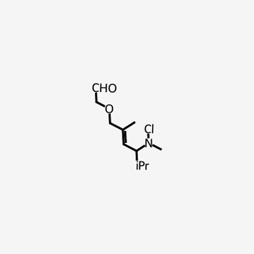 C/C(=C\C(C(C)C)N(C)Cl)COCC=O